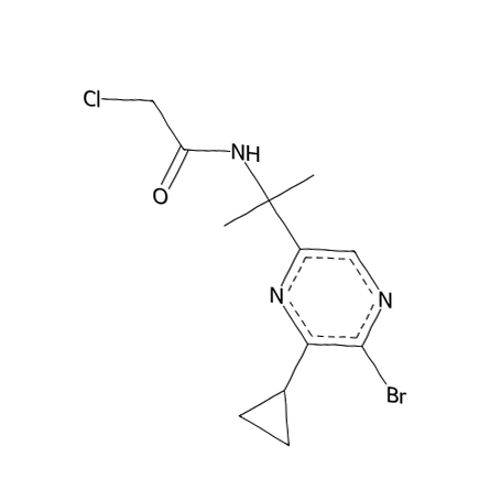 CC(C)(NC(=O)CCl)c1cnc(Br)c(C2CC2)n1